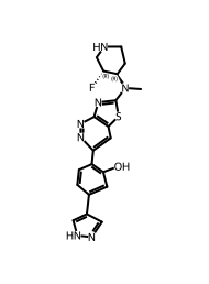 CN(c1nc2nnc(-c3ccc(-c4cn[nH]c4)cc3O)cc2s1)[C@@H]1CCNC[C@H]1F